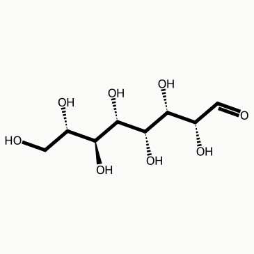 O=C[C@H](O)[C@@H](O)[C@H](O)[C@@H](O)[C@@H](O)[C@@H](O)CO